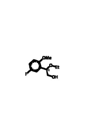 CCO[C@@H](CO)c1cc(F)ccc1OC